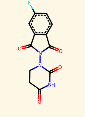 O=C1CCN(N2C(=O)c3ccc(F)cc3C2=O)C(=O)N1